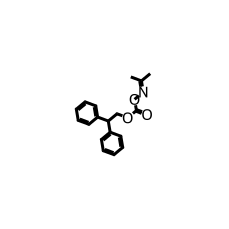 CC(C)=NOC(=O)OCC(c1ccccc1)c1ccccc1